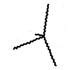 CCCCCCCCCCCCCCCCCCCC(CCCCC)(CCCCCCCCCCCCCCCCCCC)CCCCCCCCCCCCCCCCCCC